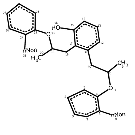 CCCCCCCCCc1ccccc1OC(C)Cc1cccc(O)c1CC(C)Oc1ccccc1CCCCCCCCC